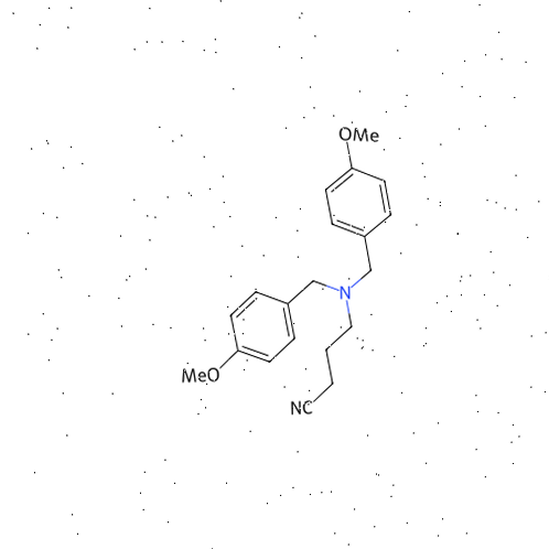 COc1ccc(CN(CCCC#N)Cc2ccc(OC)cc2)cc1